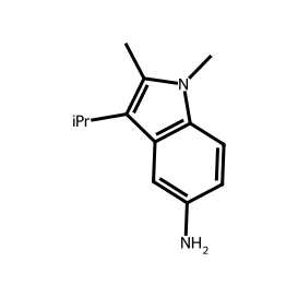 Cc1c(C(C)C)c2cc(N)ccc2n1C